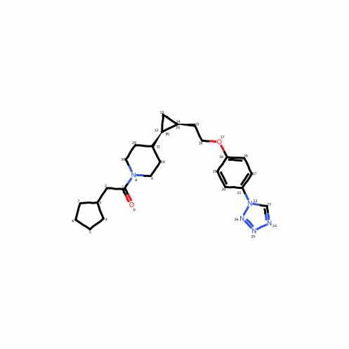 O=C(CC1CCCC1)N1CCC([C@H]2C[C@H]2CCOc2ccc(-n3cnnn3)cc2)CC1